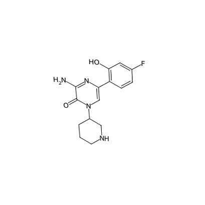 Nc1nc(-c2ccc(F)cc2O)cn(C2CCCNC2)c1=O